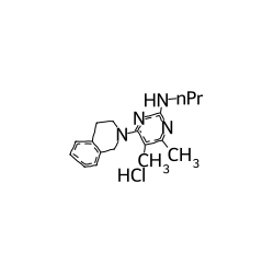 CCCNc1nc(C)c(C)c(N2CCc3ccccc3C2)n1.Cl